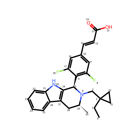 CCC1(CN2[C@H](c3c(F)cc(/C=C/C(=O)O)cc3F)c3[nH]c4ccccc4c3C[C@H]2C)CC1